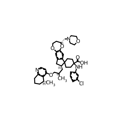 C[C@@H](COc1ccnc2c1[C@H](C)CCC2)C[C@H]1Cc2cc3c(cc2C12CCC(Nc1cccc(Cl)c1)(C(=O)O)CC2)O[C@@H](CN1CCOCC1)CCO3